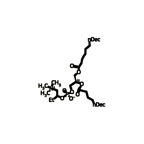 CCCCCCCCCCCCCCCC(=O)OC[C@H](COP(=O)([O-])OC(CC)C[N+](C)(C)C)OC(=O)CCCCCCCCCCCCC